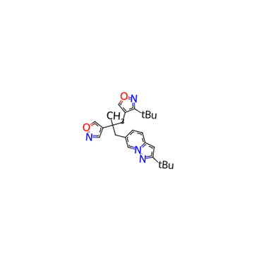 CC(C)(C)c1cc2ccc(CC(C)(Cc3conc3C(C)(C)C)c3cnoc3)cn2n1